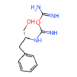 N=C(N)OC(=N)N[C@@H](CO)Cc1ccccc1